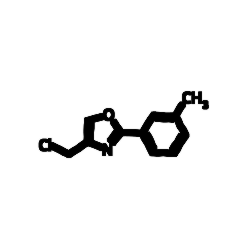 Cc1cccc(-c2nc(CCl)co2)c1